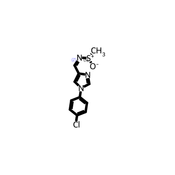 C[S@@+]([O-])/N=C\c1cn(-c2ccc(Cl)cc2)cn1